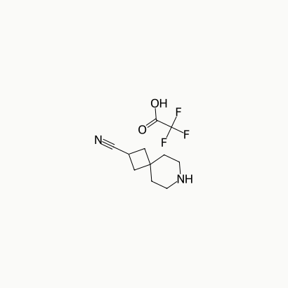 N#CC1CC2(CCNCC2)C1.O=C(O)C(F)(F)F